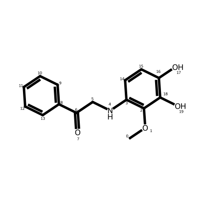 COc1c(NCC(=O)c2ccccc2)ccc(O)c1O